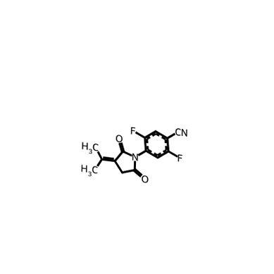 CC(C)=C1CC(=O)N(c2cc(F)c(C#N)cc2F)C1=O